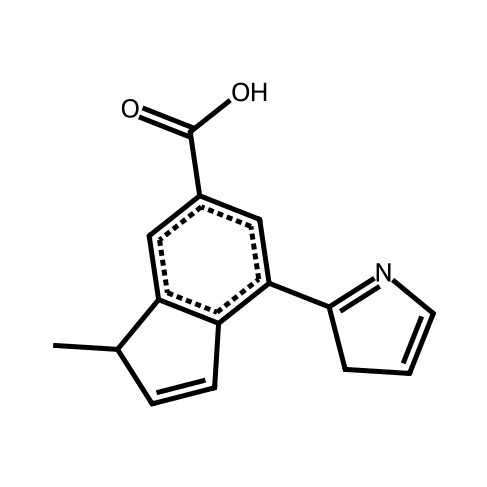 CC1C=Cc2c(C3=NC=CC3)cc(C(=O)O)cc21